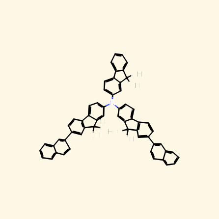 CC1(C)c2ccccc2-c2ccc(N(c3ccc4c(c3)C(C)(C)c3cc(-c5ccc6ccccc6c5)ccc3-4)c3ccc4c(c3)C(C)(C)c3cc(-c5ccc6ccccc6c5)ccc3-4)cc21